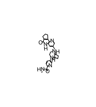 CNC(=O)c1ccc(N2CCN(Cc3cnc4c5c(c(=O)[nH]c4c3)CCC5)[C@H]3CC[C@@H]32)cn1